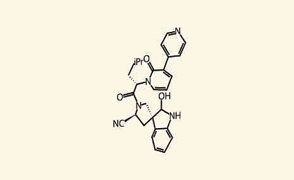 CC(C)C[C@@H](C(=O)N1C[C@@]2(C[C@H]1C#N)c1ccccc1NC2O)n1cccc(-c2ccncc2)c1=O